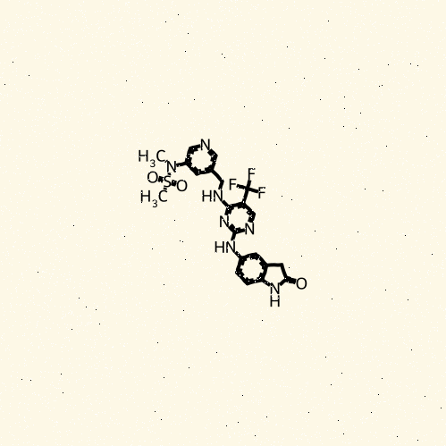 CN(c1cncc(CNc2nc(Nc3ccc4c(c3)CC(=O)N4)ncc2C(F)(F)F)c1)S(C)(=O)=O